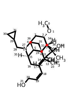 CO[C@@]12CC[C@@]3(C[C@@H]1[C@](C)(O)C(C)(C)C)[C@H]1CC(/C=C\CO)=C(C)[C@@]3(CCN1CC1CC1)[C@H]2O